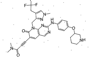 CN(C)C(=O)C#Cc1cc2cnc(Nc3ccc(OC4CCCNC4)cc3)nc2n(Cc2nn(C)cc2CC(F)(F)F)c1=O